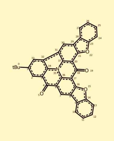 CC(C)(C)c1cc2c(=O)c3cc4c5ccccc5oc4c4c(=O)c5c6oc7ccccc7c6cc6c(c1)c2n(c34)c65